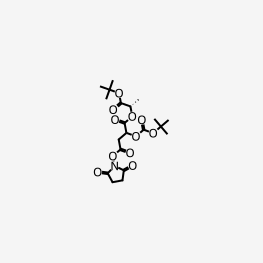 C[C@H](OC(=O)C(CC(=O)ON1C(=O)CCC1=O)OC(=O)OC(C)(C)C)C(=O)OC(C)(C)C